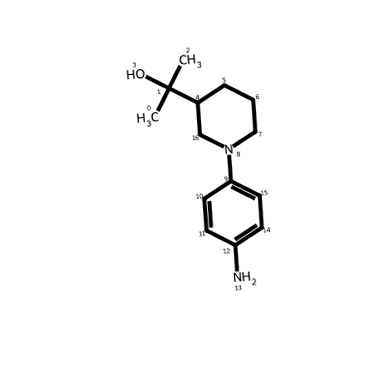 CC(C)(O)C1CCCN(c2ccc(N)cc2)C1